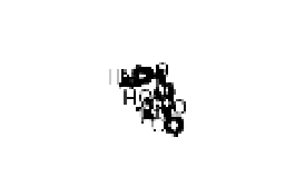 Cc1cc2cc(C(=O)N3CCN(C(=O)[C@@H](NC(=O)[C@H](C)N(C)C(=O)O)C4CCCCC4)CC3)ccc2[nH]1